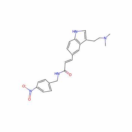 CN(C)CCc1c[nH]c2ccc(C=CC(=O)NCc3ccc([N+](=O)[O-])cc3)cc12